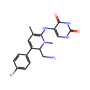 CC1=C(Nc2c[nH]c(=O)[nH]c2=O)N(C)C(CN)C(c2ccc(Br)cc2)=C1